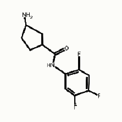 NC1CCC(C(=O)Nc2cc(F)c(F)cc2F)C1